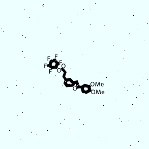 COc1ccc(-c2cc3cc(CCC(=O)Oc4c(F)c(F)c(F)c(F)c4F)ccc3o2)cc1OC